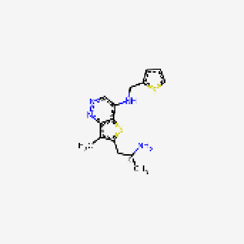 Cc1c(C[C@H](C)N)sc2c(NCc3cccs3)cnnc12